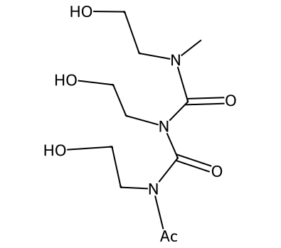 CC(=O)N(CCO)C(=O)N(CCO)C(=O)N(C)CCO